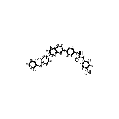 CNc1ccc(CC(=O)Nc2ccc(-c3ccc4ncc(N5CCN(Cc6cccnc6)CC5)nc4c3)cc2)cc1